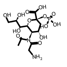 CC(=O)N(C(=O)CN)[C@H]1[C@H]([C@H](O)[C@H](O)CO)O[C@](OP(=O)(O)O)(C(=O)O)C[C@@H]1O